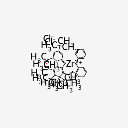 CC(C)C1=C(C(C)C)C(C(C)C)(C(C)(C)C)C(C2=CC=CC2)=C2[C]([Zr+2]=[C](c3ccccc3)c3ccccc3)=c3cc(C(C)(C)C)cc(C(C)C)c3=C21.[Cl-].[Cl-]